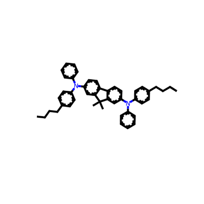 CCCCc1ccc(N(c2ccccc2)c2ccc3c(c2)C(C)(C)c2cc(N(c4ccccc4)c4ccc(CCCC)cc4)ccc2-3)cc1